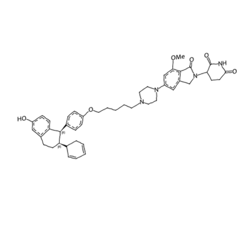 COc1cc(N2CCN(CCCCCOc3ccc([C@@H]4c5ccc(O)cc5CC[C@@H]4C4C=CC=CC4)cc3)CC2)cc2c1C(=O)N(C1CCC(=O)NC1=O)C2